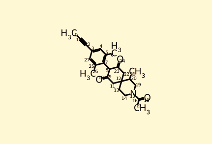 CC#Cc1cc(C)c(C2C(=O)CC3(CCN(C(C)=O)CC3C)CC2=O)c(C)c1